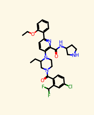 CCOc1ccccc1-c1ccc(N2CCN(C(=O)c3ccc(Cl)cc3C(F)F)CC2CC)c(C(=O)NC2CCNC2)n1